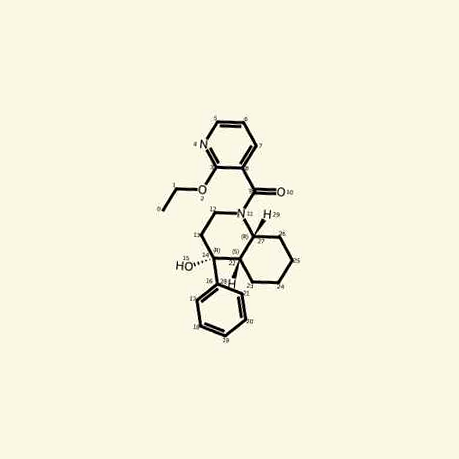 CCOc1ncccc1C(=O)N1CC[C@](O)(c2ccccc2)[C@H]2CCCC[C@H]21